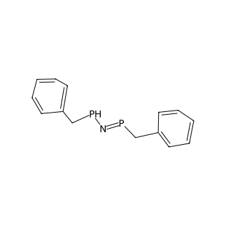 c1ccc(CP=NPCc2ccccc2)cc1